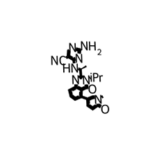 CC(C)n1c([C@H](C)Nc2nc(N)ncc2C#N)nc2cccc(-c3ccc(=O)n(C)c3)c2c1=O